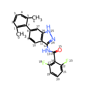 Cc1cccc(C)c1-c1ccc2c(NC(=O)c3c(F)cccc3F)n[nH]c2c1